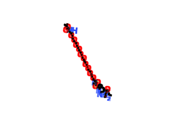 CCCN(CCC)C(=O)C1=Cc2ccc(S(=O)(=O)N(C)CCOCCOCCOCCOCCOCCOCCOCCOCCOCCOCCNC(=O)OC(C)(C)C)cc2N=C(N)C1